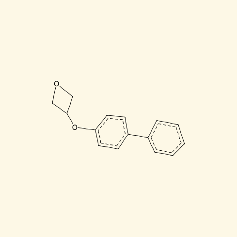 c1ccc(-c2ccc(OC3COC3)cc2)cc1